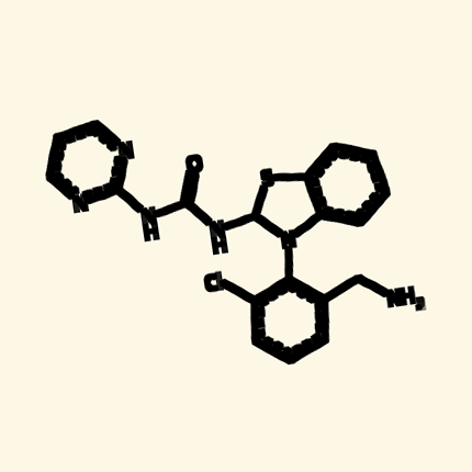 NCc1cccc(Cl)c1N1c2ccccc2SC1NC(=O)Nc1ncccn1